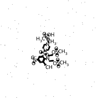 C#Cc1cc([N+](=O)[O-])cc(S(=O)(=O)N2CCN(C)CC2)c1N(CCOS(C)(=O)=O)CCOS(C)(=O)=O.CS(=O)(=O)O